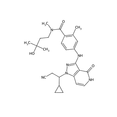 Cc1cc(Nc2nn(C(CC#N)C3CC3)c3cc[nH]c(=O)c23)ccc1C(=O)N(C)CCC(C)(C)O